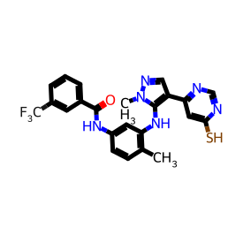 Cc1ccc(NC(=O)c2cccc(C(F)(F)F)c2)cc1Nc1c(-c2cc(S)ncn2)cnn1C